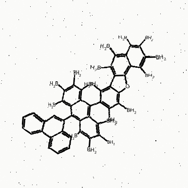 Bc1c(-c2c3c(B)c(B)c(B)c(B)c3c(-c3cc4ccccc4c4ccccc34)c3c(B)c(B)c(B)c(B)c23)c(B)c2c(oc3c4c(B)c(B)c(B)c(B)c4c(B)c(B)c32)c1B